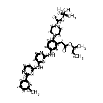 CCC(C)OC(=O)Cc1cc(Nc2nccc(Nc3ccnc(-c4cccc(C)n4)n3)n2)ccc1N1CCN(C(=O)OC(C)(C)C)CC1